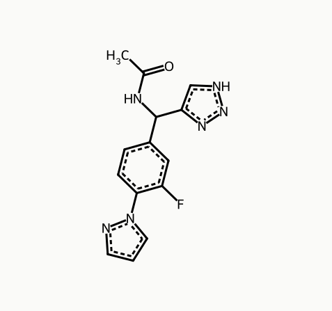 CC(=O)NC(c1ccc(-n2cccn2)c(F)c1)c1c[nH]nn1